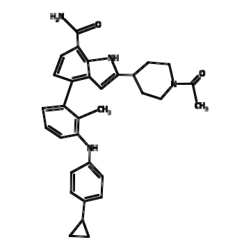 CC(=O)N1CCC(c2cc3c(-c4cccc(Nc5ccc(C6CC6)cc5)c4C)ccc(C(N)=O)c3[nH]2)CC1